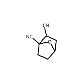 N#CC1CC2CCC1(C#N)O2